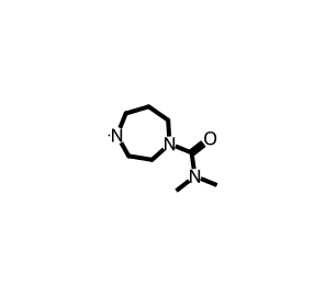 CN(C)C(=O)N1CCC[N]CC1